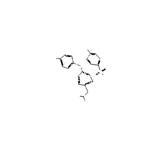 Cc1ccc([I+]c2ccc(CC(C)C)cc2)cc1.O=S(=O)([O-])c1ccc(F)cc1